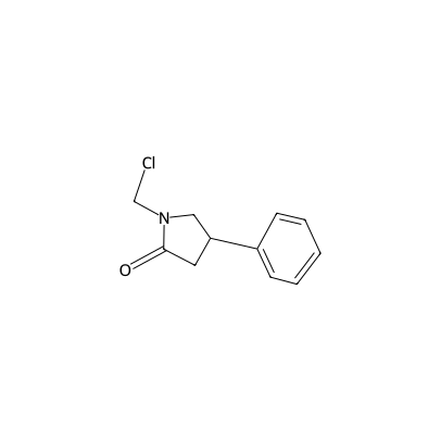 O=C1CC(c2ccccc2)CN1CCl